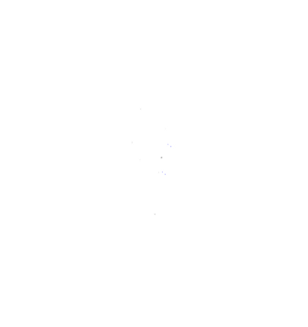 C=CCNc1ccc(C)cn1